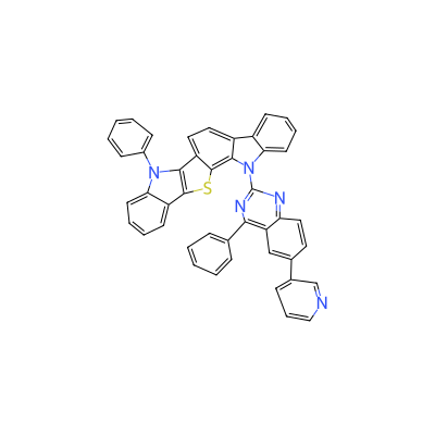 c1ccc(-c2nc(-n3c4ccccc4c4ccc5c(sc6c7ccccc7n(-c7ccccc7)c56)c43)nc3ccc(-c4cccnc4)cc23)cc1